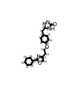 O=C1N=NC(Cc2ccc(OCCc3coc(-c4ccccc4)n3)cc2)N1